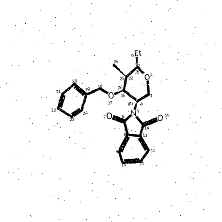 CC[C@H]1OC[C@@H](N2C(=O)c3ccccc3C2=O)[C@@H](OCc2ccccc2)[C@H]1C